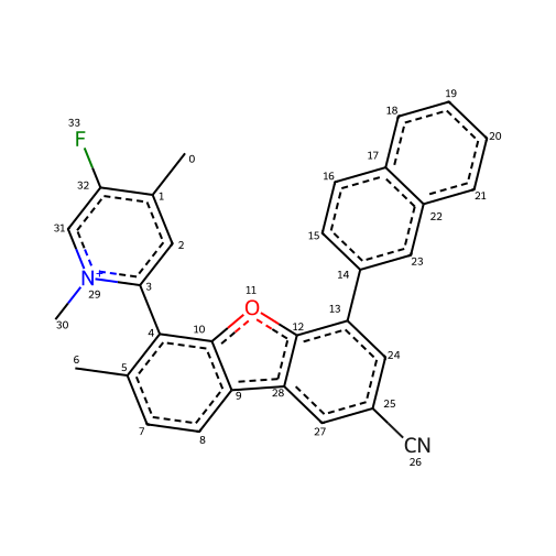 Cc1cc(-c2c(C)ccc3c2oc2c(-c4ccc5ccccc5c4)cc(C#N)cc23)[n+](C)cc1F